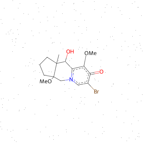 COc1c2n(cc(Br)c1=O)CC1(OC)CCCC1(C)C2O